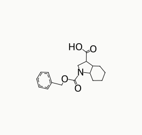 O=C(O)C1CN(C(=O)OCc2ccccc2)C2CCCCC12